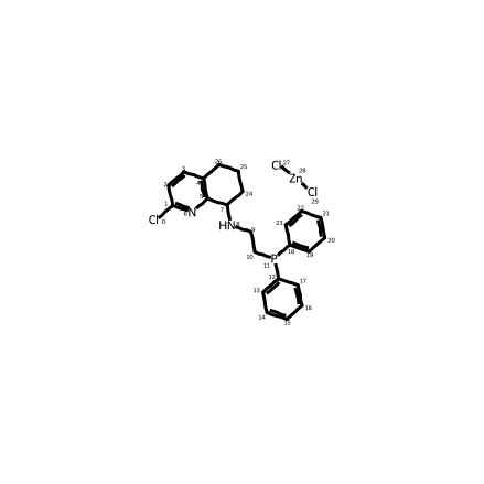 Clc1ccc2c(n1)C(NCCP(c1ccccc1)c1ccccc1)CCC2.[Cl][Zn][Cl]